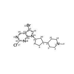 CN1CCC(C2CCC(n3cc(Br)c4cnc(Cl)nc43)C2)CC1